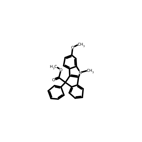 COC(=O)C1(c2ccccc2)c2ccccc2-c2c1c1ccc(OC)cc1n2C